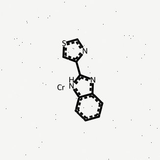 [Cr].c1ccc2[nH]c(-c3cscn3)nc2c1